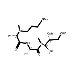 CC[C@H](C)[C@@H]([C@@H](CC=O)OC)N(C)C(=O)[C@@H](NC(=O)[C@H](C(C)C)N(C)CCCNC)C(C)C